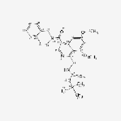 COc1cc(OC)c2c(CNC(=O)OC(C)(C)C)ncc(C(=O)N3CCc4ccccc4C3)c2c1